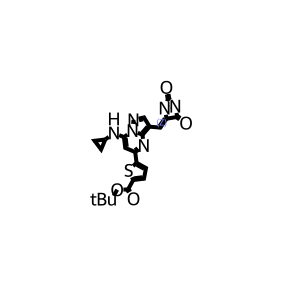 CC(C)(C)OC(=O)c1ccc(-c2cc(NC3CC3)n3ncc(/C=C4/C(=O)N5C(=O)N45)c3n2)s1